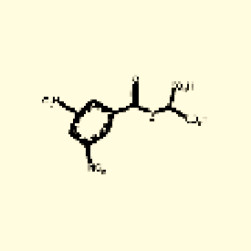 O=C(NC(C(=O)O)C(=O)O)c1cc([N+](=O)[O-])cc([N+](=O)[O-])c1